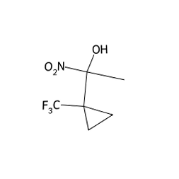 CC(O)([N+](=O)[O-])C1(C(F)(F)F)CC1